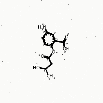 C[C@@H](O)CC(=O)Oc1ccc(N)cc1C(=O)O